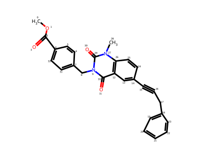 COC(=O)c1ccc(Cn2c(=O)c3cc(C#CCc4ccccc4)ccc3n(C)c2=O)cc1